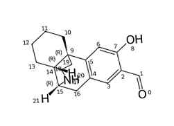 O=Cc1cc2c(cc1O)[C@@]13CCCC[C@H]1[C@@H](C2)NCC3